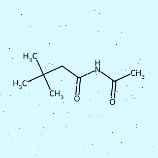 CC(=O)NC(=O)CC(C)(C)C